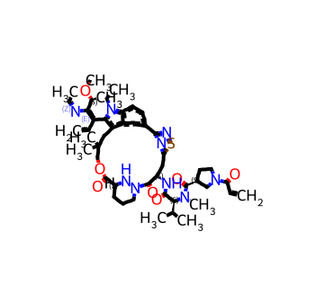 C=CC(=O)N1CC[C@H](C(=O)N(C)[C@H](C(=O)N[C@H]2Cc3nc(ns3)-c3ccc4c(c3)c(c(/C(C=C)=C(/N=C\C)[C@H](C)OC)n4CC)CC(C)(C)COC(=O)[C@@H]3CCCN(N3)C2=O)C(C)C)C1